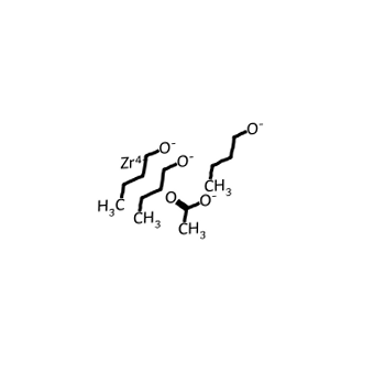 CC(=O)[O-].CCCC[O-].CCCC[O-].CCCC[O-].[Zr+4]